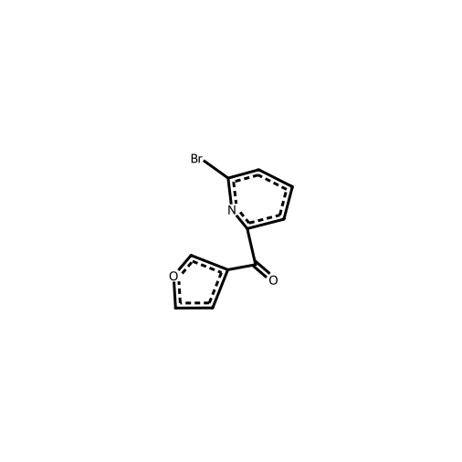 O=C(c1ccoc1)c1cccc(Br)n1